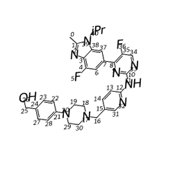 Cc1nc2c(F)cc(-c3nc(Nc4ccc(CN5CCN(c6ccc(CO)cc6)CC5)cn4)ncc3F)cc2n1C(C)C